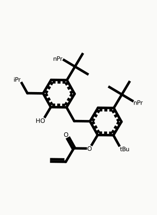 C=CC(=O)Oc1c(Cc2cc(C(C)(C)CCC)cc(CC(C)C)c2O)cc(C(C)(C)CCC)cc1C(C)(C)C